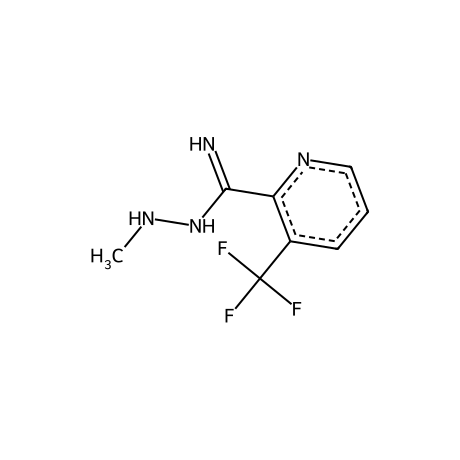 CNNC(=N)c1ncccc1C(F)(F)F